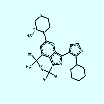 [2H]C([2H])([2H])n1nc(-c2ccnn2C2CCCCO2)c2nc(N3CCOC[C@H]3C)cc(C(C)(C)C#N)c21